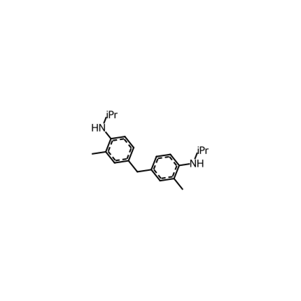 Cc1cc(Cc2ccc(NC(C)C)c(C)c2)ccc1NC(C)C